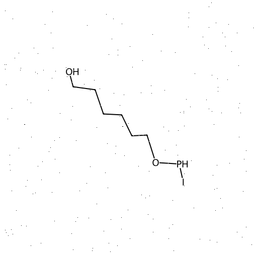 OCCCCCCOPI